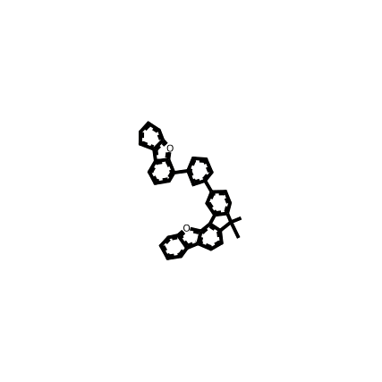 CC1(C)c2ccc(-c3cccc(-c4cccc5c4oc4ccccc45)c3)cc2-c2c1ccc1c2oc2ccccc21